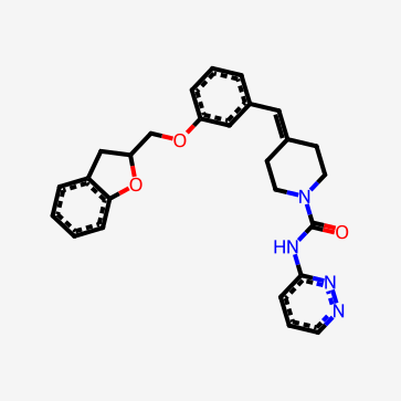 O=C(Nc1cccnn1)N1CCC(=Cc2cccc(OCC3Cc4ccccc4O3)c2)CC1